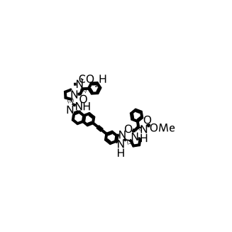 COC(=O)N[C@@H](C(=O)N1CCC[C@H]1c1nc2cc(C#Cc3ccc4c(c3)CCc3nc([C@@H]5CCCN5C(=O)[C@@H](c5ccccc5)N(C)C(=O)O)[nH]c3-4)ccc2[nH]1)c1ccccc1